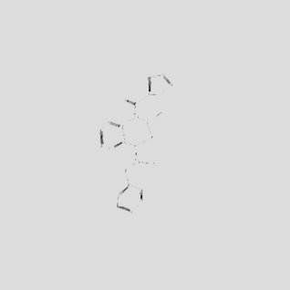 CC(=O)N(Cc1ccccc1)[C@@H]1C[C@H](C)N(C(=O)c2cccs2)c2ccccc21